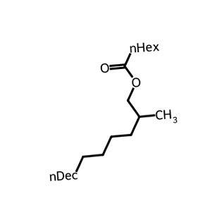 CCCCCCCCCCCCCCC(C)COC(=O)CCCCCC